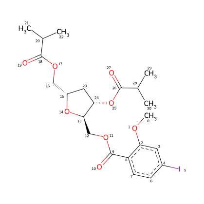 COc1cc(I)ccc1C(=O)OC[C@H]1O[C@H](COC(=O)C(C)C)C[C@@H]1OC(=O)C(C)C